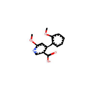 COc1cc(-c2ccccc2OC)c(C(=O)O)cn1